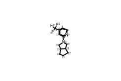 FC(F)(F)c1ccnc(N2CC3CCCC3C2)c1